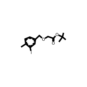 Cc1ccc(COCC(=O)OC(C)(C)C)cc1I